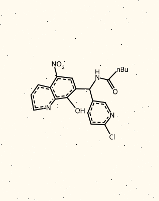 CCCCC(=O)NC(c1ccc(Cl)nc1)c1cc([N+](=O)[O-])c2cccnc2c1O